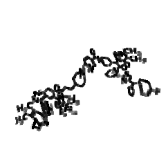 CNC(C)C(=O)NC(C(=O)N1CCC[C@H]1c1nc(C(=O)c2ccc(F)cc2)cs1)C1CCN(C(=O)c2ccc(N3CCC(CCCOc4cc5ncnc(Nc6n[nH]c(C)c6C)c5cc4S(=O)(=O)C(C)(C)C)CC3)nc2)CC1